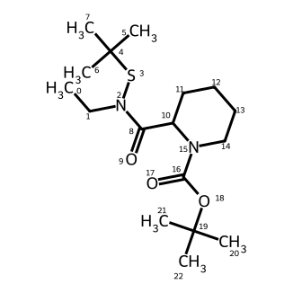 CCN(SC(C)(C)C)C(=O)C1CCCCN1C(=O)OC(C)(C)C